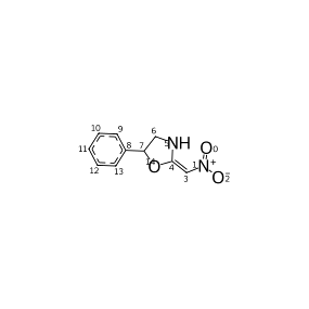 O=[N+]([O-])/C=C1\NCC(c2ccccc2)O1